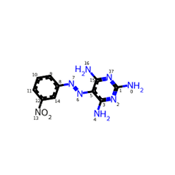 Nc1nc(N)c(N=Nc2cccc([N+](=O)[O-])c2)c(N)n1